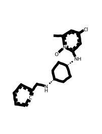 Cc1cc(Cl)cc(N[C@H]2CC[C@@H](NCc3ccccc3)CC2)[n+]1[O-]